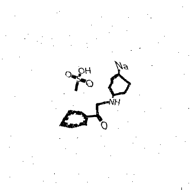 CS(=O)(=O)O.O=C(CN[C@H]1CC[C@H]([Na])CC1)c1ccccc1